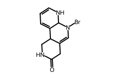 O=C1CC2=CN(Br)C3NC=CC=C3C2CN1